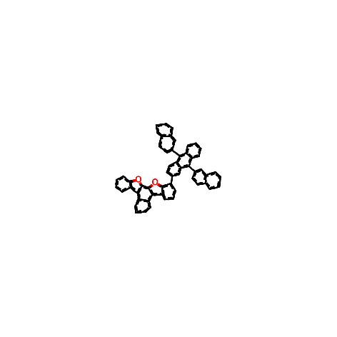 c1ccc2cc(-c3c4ccccc4c(-c4ccc5ccccc5c4)c4cc(-c5cccc6c5oc5c7oc8ccccc8c7c7ccccc7c65)ccc34)ccc2c1